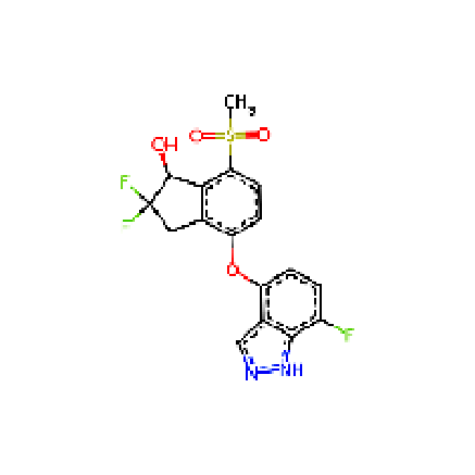 CS(=O)(=O)c1ccc(Oc2ccc(F)c3[nH]ncc23)c2c1[C@H](O)C(F)(F)C2